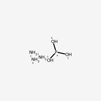 N.N.N.OP(O)O